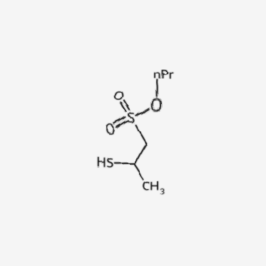 CCCOS(=O)(=O)CC(C)S